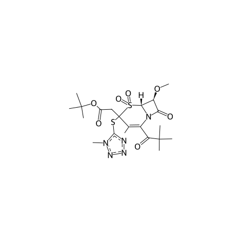 CO[C@H]1C(=O)N2C(C(=O)C(C)(C)C)=C(C)C(CC(=O)OC(C)(C)C)(Sc3nnnn3C)S(=O)(=O)[C@H]12